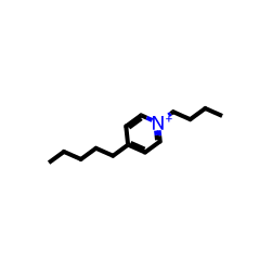 CCCCCc1cc[n+](CCCC)cc1